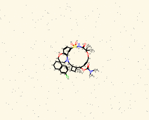 CN(C)C(=O)O[C@@]1(C)C=CCOC(C)(C)C(=O)NS(=O)(=O)c2ccc3c(c2)N(C[C@@H]2CC[C@H]21)C[C@@]1(CCCc2cc(Cl)ccc21)CO3